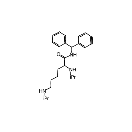 CC(C)NCCCCC(NC(C)C)C(=O)NC(c1cc#ccc1)c1ccccc1